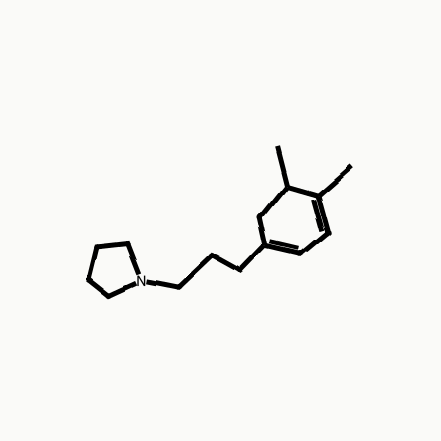 CC1=CC=C(CCCN2CCCC2)CC1C